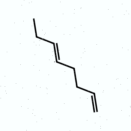 C=CCC/[C]=C/CC